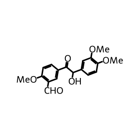 COc1ccc(C(=O)C(O)c2ccc(OC)c(OC)c2)cc1C=O